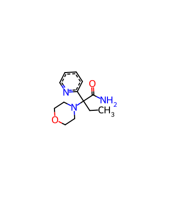 CCC(C(N)=O)(c1ccccn1)N1CCOCC1